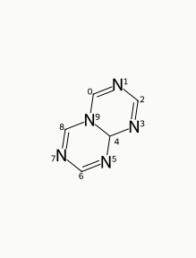 C1=NC=NC2N=CN=CN12